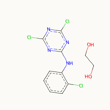 Clc1nc(Cl)nc(Nc2ccccc2Cl)n1.OCCO